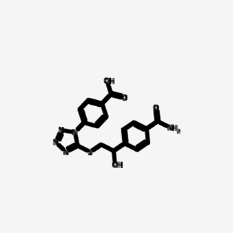 NC(=O)c1ccc(C(O)CSc2nnnn2-c2ccc(C(=O)O)cc2)cc1